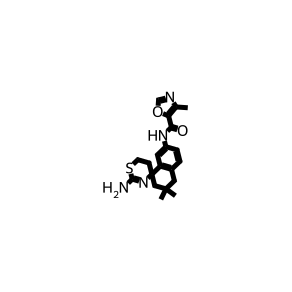 Cc1ncoc1C(=O)Nc1ccc2c(c1)C1(CCSC(N)=N1)CC(C)(C)C2